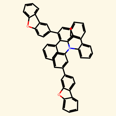 c1ccc(-c2ccccc2N(c2cccc(-c3ccc4c(c3)oc3ccccc34)c2)c2cccc(-c3ccc4oc5ccccc5c4c3)c2-c2ccccc2)cc1